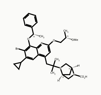 CO[C@@H](C)COc1cc(CC(C)(C)N2C[C@@H]3C[C@H]2CN3C(=O)O)c2cc(C3CC3)c(Br)c(O[C@@H](C)c3ccccc3)c2n1